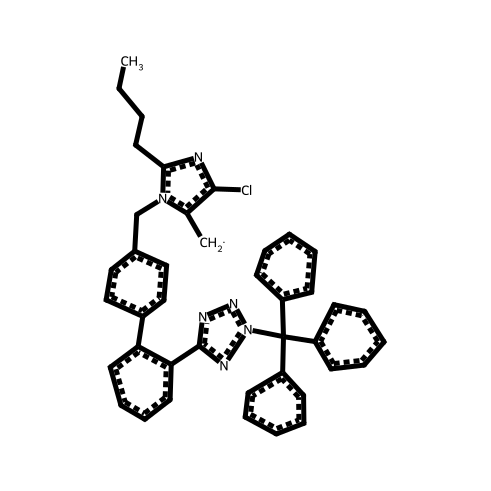 [CH2]c1c(Cl)nc(CCCC)n1Cc1ccc(-c2ccccc2-c2nnn(C(c3ccccc3)(c3ccccc3)c3ccccc3)n2)cc1